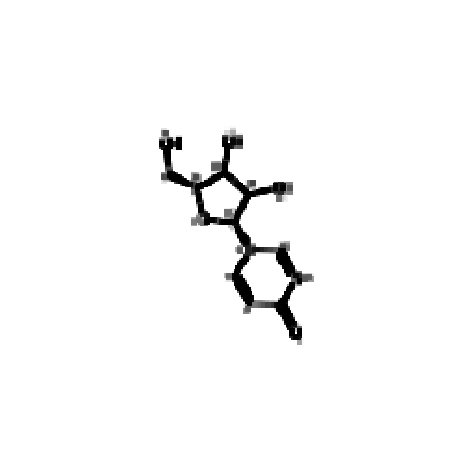 O=c1ccn([C@H]2O[C@@H](CO)C(O)C2O)cn1